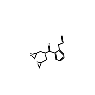 C=CCc1ccccc1C(=O)N(CC1CO1)CC1CO1